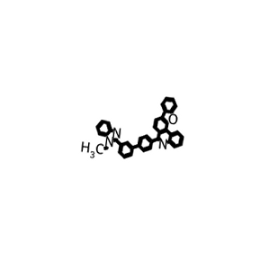 CCn1c(-c2cccc(-c3ccc(-c4nc5ccccc5c5c4ccc4c6ccccc6oc45)cc3)c2)nc2ccccc21